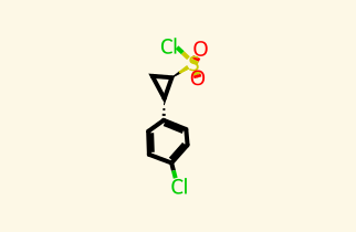 O=S(=O)(Cl)[C@@H]1C[C@H]1c1ccc(Cl)cc1